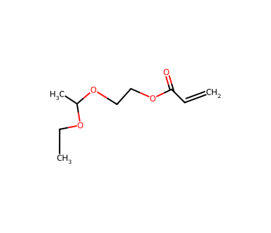 C=CC(=O)OCCOC(C)OCC